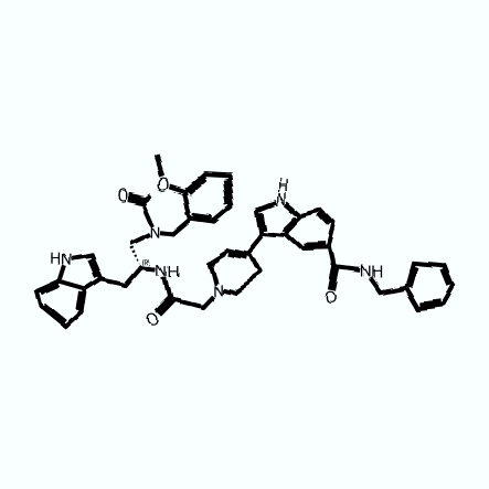 COc1ccccc1CN(C[C@@H](Cc1c[nH]c2ccccc12)NC(=O)CN1CC=C(c2c[nH]c3ccc(C(=O)NCc4ccccc4)cc23)CC1)C(C)=O